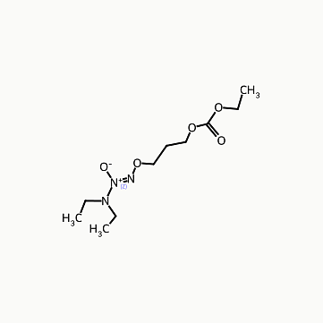 CCOC(=O)OCCCO/N=[N+](\[O-])N(CC)CC